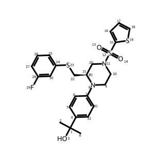 CC(C)(O)c1ccc(N2CCN(S(=O)(=O)c3cccs3)C[C@@H]2CSc2cccc(F)c2)cc1